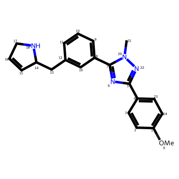 COc1ccc(-c2nc(-c3cccc(CC4C=CCN4)c3)n(C)n2)cc1